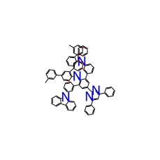 Cc1cccc(-c2ccc3c(c2)c2cc(-c4cccc(C)c4)ccc2n3-c2c(-c3cccc(-n4c5ccccc5c5ccccc54)c3)cc(-c3nc(-c4ccccc4)cc(-c4ccccc4)n3)cc2-c2cccc(-n3c4ccccc4c4ccccc43)c2)c1